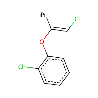 CC(C)C(=CCl)Oc1ccccc1Cl